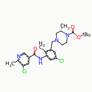 Cc1ncc(C(=O)Nc2cc(Cl)cc(CN3CCN(C(=O)OC(C)(C)C)[C@@H](C)C3)c2C)cc1Cl